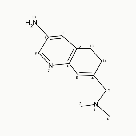 CN(C)CC1=Cc2ncc(N)cc2CC1